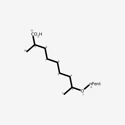 CCCCCOC(C)CCCCCC(C)C(=O)O